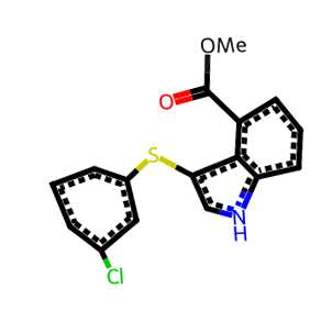 COC(=O)c1cccc2[nH]cc(Sc3cccc(Cl)c3)c12